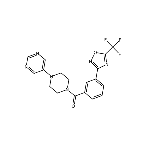 O=C(c1cccc(-c2noc(C(F)(F)F)n2)c1)N1CCN(c2cncnc2)CC1